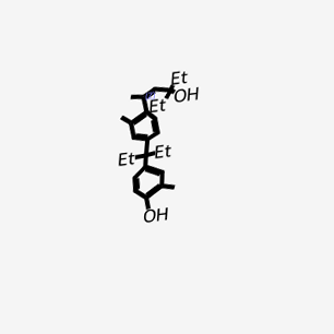 CCC(O)(/C=C(/C)c1ccc(C(CC)(CC)c2ccc(O)c(C)c2)cc1C)CC